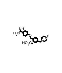 CC(=O)O.CN1CCN(Cc2ccc(COc3ccc(C(=N)N)cc3)cc2)CC1